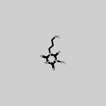 Cn1c(=O)[nH]c(=O)n(CCCN)c1=O